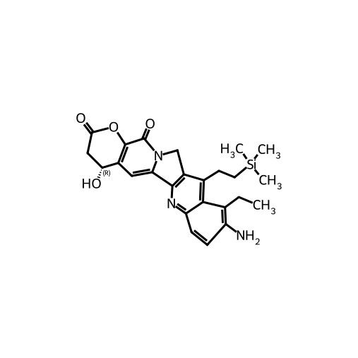 CCc1c(N)ccc2nc3c(c(CC[Si](C)(C)C)c12)Cn1c-3cc2c(c1=O)OC(=O)C[C@H]2O